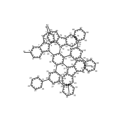 Cc1ccc2c(c1)c1cc(C)ccc1n2-c1cc(-c2nc(-c3ccccc3)nc(-c3ccccc3)n2)c(-n2c3ccc(C)cc3c3cc(C)ccc32)c(-c2nc(-c3ccccc3)nc(-c3ccccc3)n2)c1-n1c2ccccc2c2cc(C)ccc21